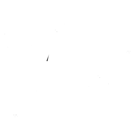 COCCCOc1ccc([C@@H]2[C@@H](OCc3ccc4c(c3)N(CCCOC)CCO4)CN(C(=O)O)C[C@H]2OCC2CO2)cc1